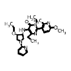 CCO[C@@H]1CN(c2ccccn2)C[C@H]1Nc1c(CC)nc(-c2ccc(OC)nc2C)n(CC)c1=O